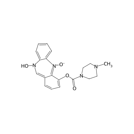 CN1CCN(C(=O)Oc2cccc3c2=[N+]([O-])c2ccccc2N(O)C=3)CC1